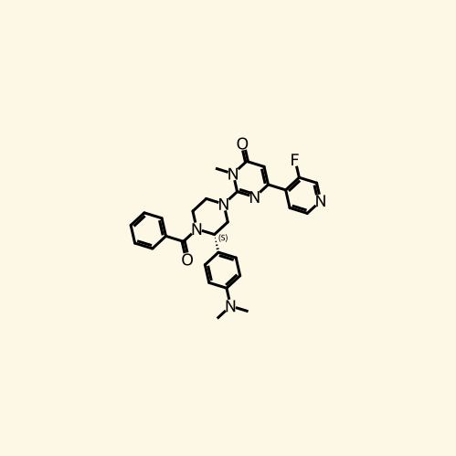 CN(C)c1ccc([C@H]2CN(c3nc(-c4ccncc4F)cc(=O)n3C)CCN2C(=O)c2ccccc2)cc1